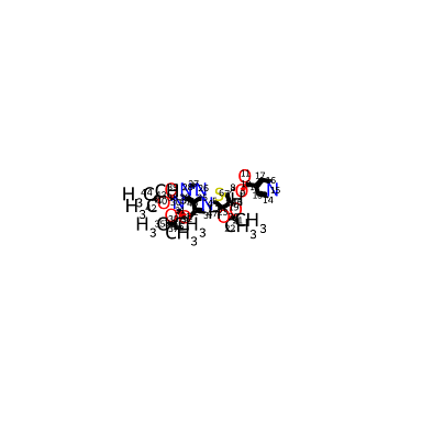 C#Cc1cn([C@@H]2S[C@H](COC(=O)c3ccncc3)[C@H]3OC(C)(C)O[C@H]32)c2ncnc(N(C(=O)OC(C)(C)C)C(=O)OC(C)(C)C)c12